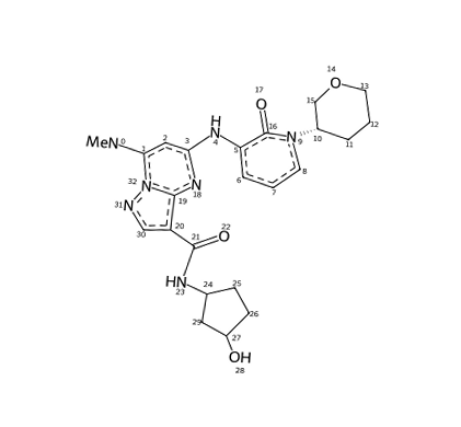 CNc1cc(Nc2cccn([C@H]3CCCOC3)c2=O)nc2c(C(=O)NC3CCC(O)C3)cnn12